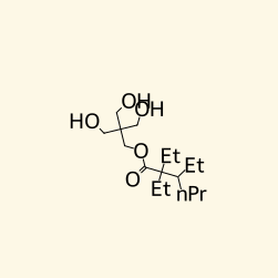 CCCC(CC)C(CC)(CC)C(=O)OCC(CO)(CO)CO